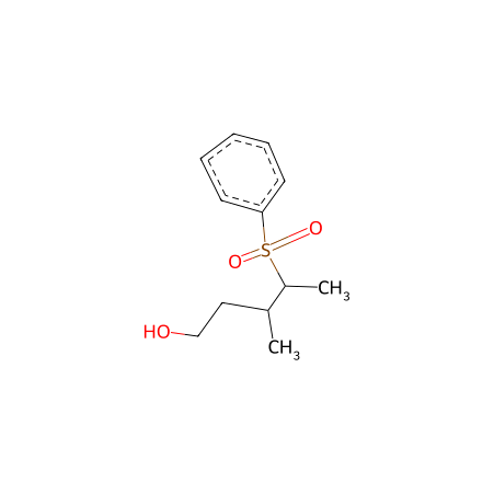 CC(CCO)C(C)S(=O)(=O)c1ccccc1